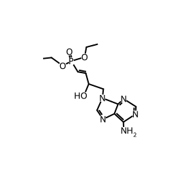 CCOP(=O)(C=CC(O)Cn1cnc2c(N)ncnc21)OCC